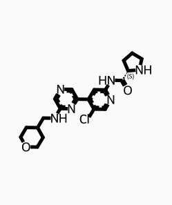 O=C(Nc1cc(-c2cncc(NCC3CCOCC3)n2)c(Cl)cn1)[C@@H]1CCCN1